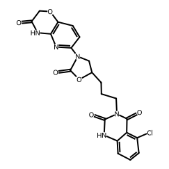 O=C1COc2ccc(N3CC(CCCn4c(=O)[nH]c5cccc(Cl)c5c4=O)OC3=O)nc2N1